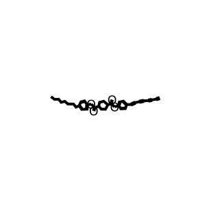 C#CC#CC#CC#Cc1ccc(OC(=O)C2CCC(C(=O)Oc3ccc(CCCCCCCC)cc3)CC2)cc1